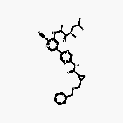 C[C@H](Nc1cc(-c2cnc(NC(=O)C3CC3COCc3ccccc3)cn2)cnc1C#N)C(=O)N(C)CC(F)F